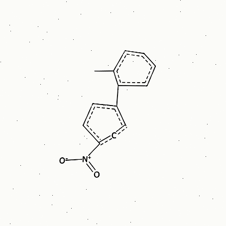 Cc1ccccc1-c1ccc([N+](=O)[O-])cc1